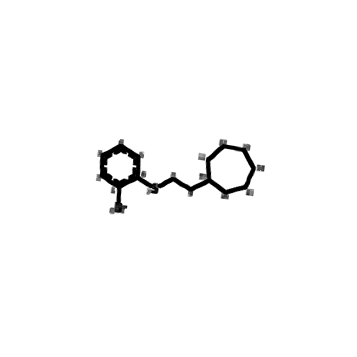 Brc1ccccc1SCCC1CCCCCC1